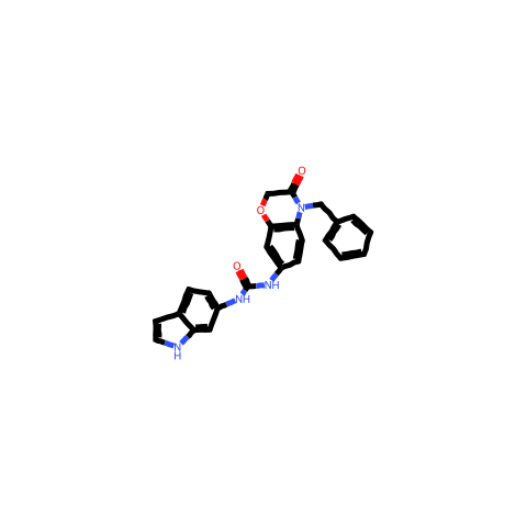 O=C(Nc1ccc2c(c1)OCC(=O)N2Cc1ccccc1)Nc1ccc2cc[nH]c2c1